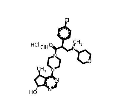 C[C@@H]1C[C@@H](O)c2ncnc(N3CCN(C(=O)C(CN(C)C4CCOCC4)c4ccc(Cl)cc4)CC3)c21.Cl.Cl